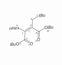 CCCCCC/C(C(=O)OCC(C)C)=C(\CC(C)(C)C)C(=O)OCC(C)C